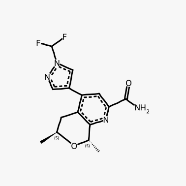 C[C@@H]1O[C@@H](C)Cc2c(-c3cnn(C(F)F)c3)cc(C(N)=O)nc21